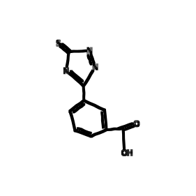 O=C(O)c1cccc(C2=NC(=S)N=N2)c1